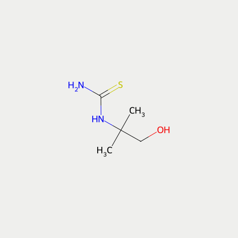 CC(C)(CO)NC(N)=S